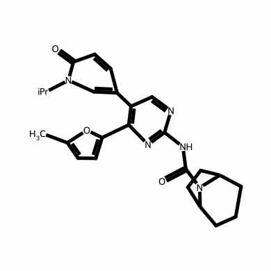 Cc1ccc(-c2nc(NC(=O)N3C4CCCC3CC4)ncc2-c2ccc(=O)n(C(C)C)c2)o1